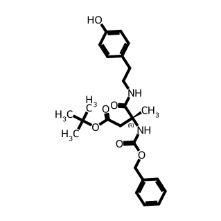 CC(C)(C)OC(=O)C[C@@](C)(NC(=O)OCc1ccccc1)C(=O)NCCc1ccc(O)cc1